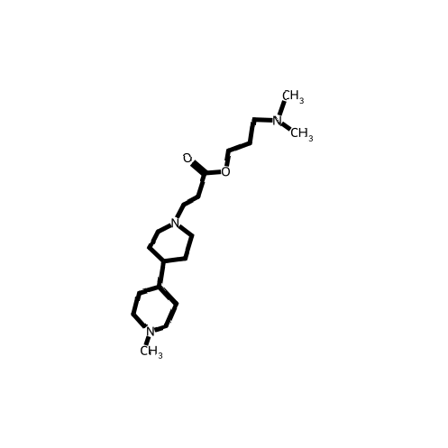 CN(C)CCCOC(=O)CCN1CCC(C2CCN(C)CC2)CC1